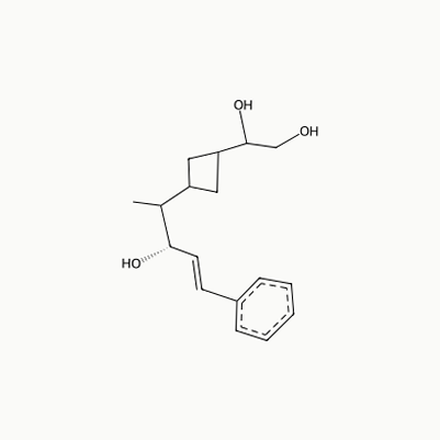 CC(C1CC(C(O)CO)C1)[C@@H](O)/C=C/c1ccccc1